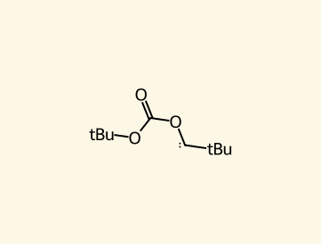 CC(C)(C)[C]OC(=O)OC(C)(C)C